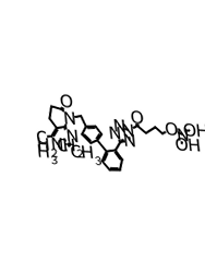 C=C(C)/N=C1\C(=C(\C)N)CCC(=O)N1Cc1ccc(-c2ccccc2-c2nnn(C(=O)CCCON(O)O)n2)cc1